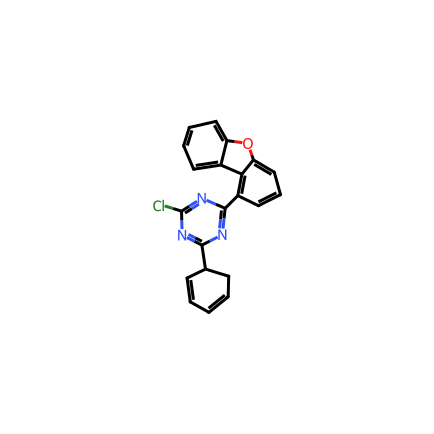 Clc1nc(-c2cccc3oc4ccccc4c23)nc(C2C=CC=CC2)n1